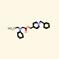 O=C(O)CN(CC(=O)OCc1cc[n+](Cc2ccccc2)cc1)c1ccccc1